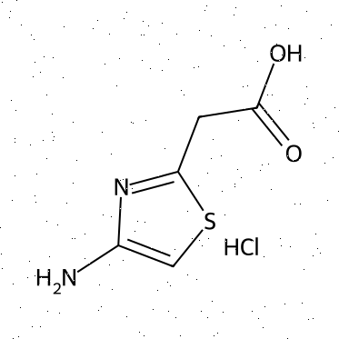 Cl.Nc1csc(CC(=O)O)n1